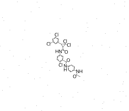 CC(=O)Nc1ccc(NC(=O)c2cc(NC(=O)C3C(c4cc(Cl)cc(Cl)c4)C3(Cl)Cl)ccc2Cl)cc1